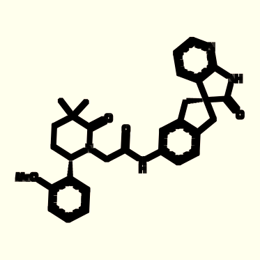 COc1ccccc1[C@@H]1CCC(C)(C)C(=O)N1CC(=O)Nc1ccc2c(c1)C[C@@]1(C2)C(=O)Nc2ncccc21